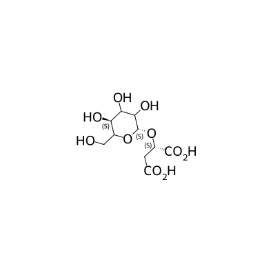 O=C(O)C[C@H](O[C@@H]1OC(CO)[C@@H](O)C(O)C1O)C(=O)O